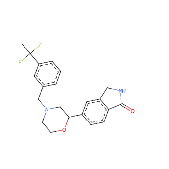 CC(F)(F)c1cccc(CN2CCOC(c3ccc4c(c3)CNC4=O)C2)c1